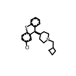 Clc1ccc2c(c1)C(=C1CCN(CC3CCC3)CC1)c1ccccc1S2